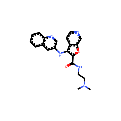 CN(C)CCNC(=O)c1oc2cnccc2c1Nc1cnc2ccccc2c1